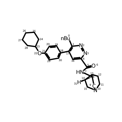 CCCCc1nnc(C(=O)N[C@H]2CN3CCC2CC3)cc1-c1ccc(OC2CCCCC2)cc1